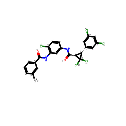 O=C(Nc1cc(NC(=O)[C@H]2[C@H](c3cc(Cl)cc(Cl)c3)C2(Cl)Cl)ccc1Cl)c1cccc(C(F)(F)F)c1